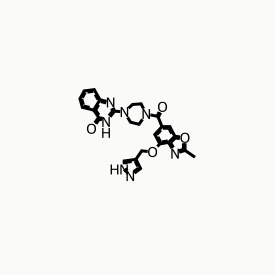 Cc1nc2c(OCc3cn[nH]c3)cc(C(=O)N3CCN(c4nc5ccccc5c(=O)[nH]4)CC3)cc2o1